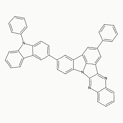 c1ccc(-c2cc3c4cc(-c5ccc6c(c5)c5ccccc5n6-c5ccccc5)ccc4n4c5nc6ccccc6nc5c(c2)c34)cc1